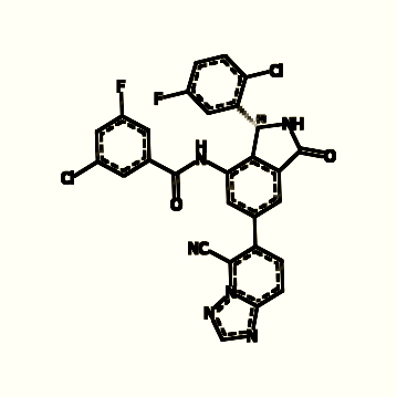 N#Cc1c(-c2cc(NC(=O)c3cc(F)cc(Cl)c3)c3c(c2)C(=O)N[C@H]3c2cc(F)ccc2Cl)ccc2ncnn12